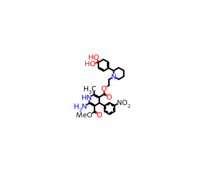 COC(=O)C1=C(N)NC(C)=C(C(=O)OCCN2CCCCC2C2=CCC(O)(O)C=C2)C1c1cccc([N+](=O)[O-])c1